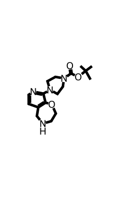 CC(C)(C)OC(=O)N1CCN(c2nccc3c2OCCNC3)CC1